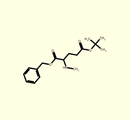 CNC(CCC(=O)OC(C)(C)C)C(=O)OCc1ccccc1